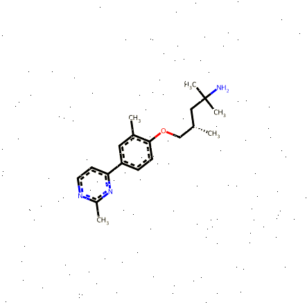 Cc1nccc(-c2ccc(OC[C@@H](C)CC(C)(C)N)c(C)c2)n1